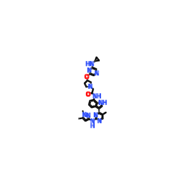 Cc1cnc(Nc2cc(C)n(C)n2)nc1-c1c[nH]c2c(NC(=O)CN3CCC(Oc4cncc(NC5CC5)n4)C3)cccc12